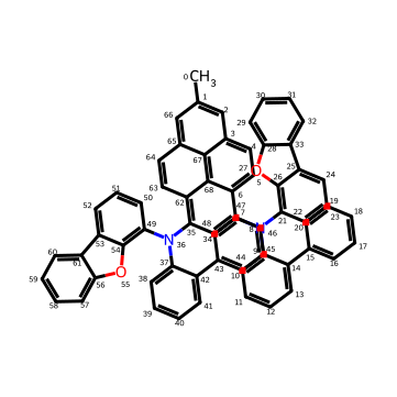 Cc1cc2ccc3c(N(c4ccccc4-c4ccccc4)c4cccc5c4oc4ccccc45)cc(N(c4ccccc4-c4ccccc4)c4cccc5c4oc4ccccc45)c4ccc(c1)c2c34